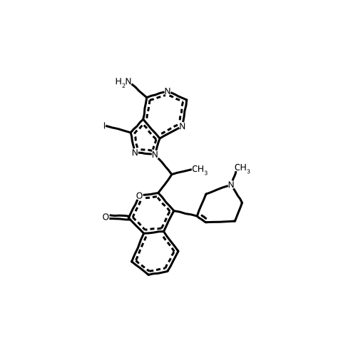 CC(c1oc(=O)c2ccccc2c1C1=CCCN(C)C1)n1nc(I)c2c(N)ncnc21